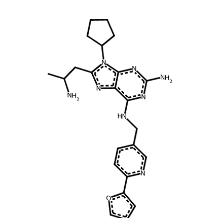 CC(N)Cc1nc2c(NCc3ccc(-c4ccco4)nc3)nc(N)nc2n1C1CCCC1